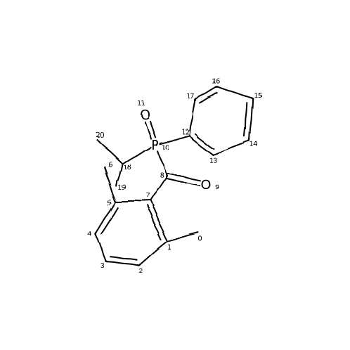 Cc1cccc(C)c1C(=O)P(=O)(c1ccccc1)C(C)C